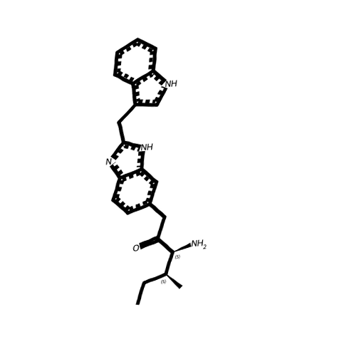 CC[C@H](C)[C@H](N)C(=O)Cc1ccc2nc(Cc3c[nH]c4ccccc34)[nH]c2c1